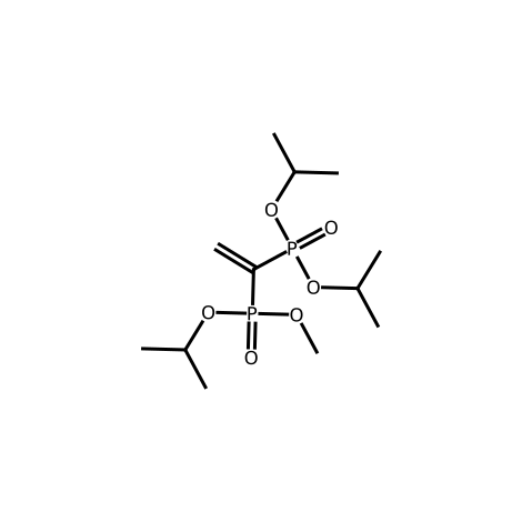 C=C(P(=O)(OC)OC(C)C)P(=O)(OC(C)C)OC(C)C